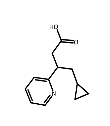 O=C(O)CC(CC1CC1)c1ccccn1